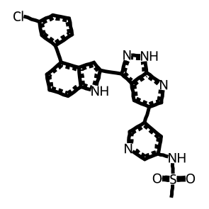 CS(=O)(=O)Nc1cncc(-c2cnc3[nH]nc(-c4cc5c(-c6cccc(Cl)c6)cccc5[nH]4)c3c2)c1